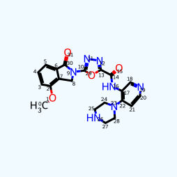 COc1cccc2c1CN(c1nnc(C(=O)Nc3cnccc3N3CCNCC3)o1)C2=O